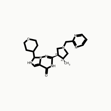 C[C@H]1CN(Cc2ncccn2)C[C@@H]1C1=NN2C(=CNC2C2CCOCC2)C(=O)N1